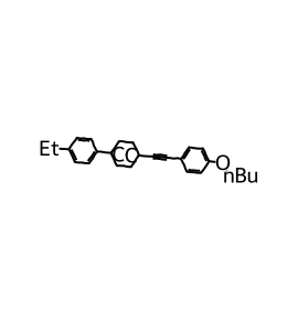 CCCCOc1ccc(C#CC23CCC(c4ccc(CC)cc4)(CC2)CC3)cc1